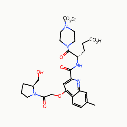 CCOC(=O)N1CCN(C(=O)[C@H](CCC(=O)O)NC(=O)c2cc(OCC(=O)N3CCC[C@H]3CO)c3ccc(C)cc3n2)CC1